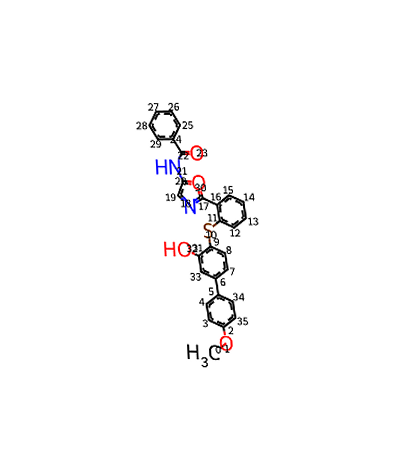 COc1ccc(-c2ccc(Sc3ccccc3-c3ncc(NC(=O)c4ccccc4)o3)c(O)c2)cc1